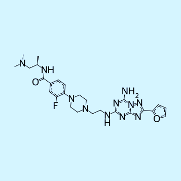 C[C@H](CN(C)C)NC(=O)c1ccc(N2CCN(CCNc3nc(N)n4nc(-c5ccco5)nc4n3)CC2)c(F)c1